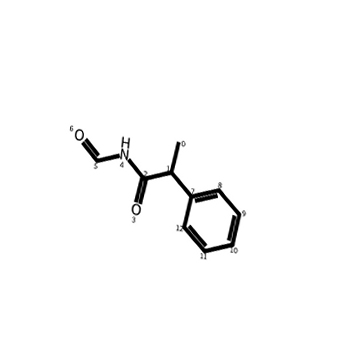 CC(C(=O)NC=O)c1ccccc1